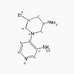 CCC1CC(N)CN(c2ccncc2N)C1